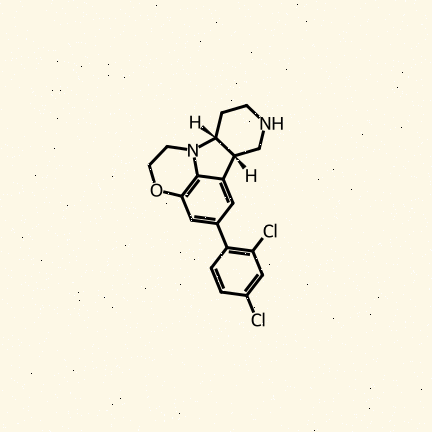 Clc1ccc(-c2cc3c4c(c2)[C@H]2CNCC[C@H]2N4CCO3)c(Cl)c1